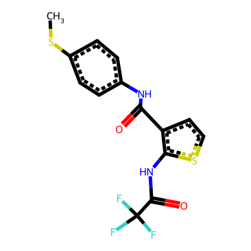 CSc1ccc(NC(=O)c2ccsc2NC(=O)C(F)(F)F)cc1